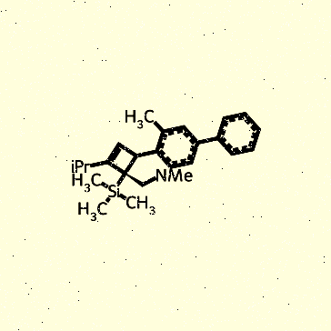 CNC[C@@]1([Si](C)(C)C)C(C(C)C)=CC1c1ccc(-c2ccccc2)cc1C